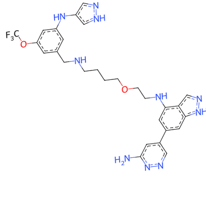 Nc1cc(-c2cc(NCCOCCCCNCc3cc(Nc4cn[nH]c4)cc(OC(F)(F)F)c3)c3cn[nH]c3c2)cnn1